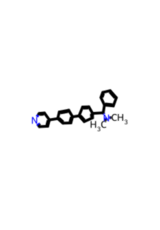 CN(C)C(c1ccccc1)c1ccc(-c2ccc(-c3ccncc3)cc2)cc1